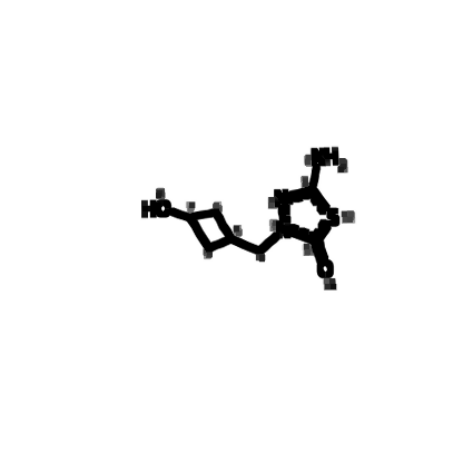 Nc1nn(CC2CC(O)C2)c(=O)s1